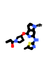 C=CC(=O)N1CCC(Oc2nc(Nc3ncc(C)s3)cc3c2ccn3CCC)C1